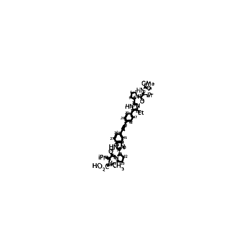 CCc1nc(C2CCCN2C(=O)[C@@H](NC(=O)OC)C(C)C)[nH]c1-c1ccc(C#Cc2ccc3[nH]c([C@@H]4CCCN4C(=O)[C@H](C(C)C)N(C)C(=O)O)nc3c2)cc1